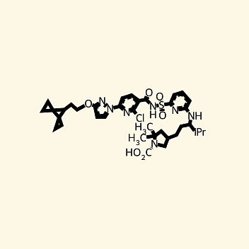 CC(C)C(CCC1CN(C(=O)O)C(C)(C)C1)Nc1cccc(S(=O)(=O)NC(=O)c2ccc(-n3ccc(OCCC4C5(CC5)C45CC5)n3)nc2Cl)n1